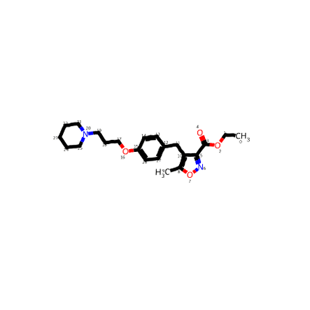 CCOC(=O)c1noc(C)c1Cc1ccc(OCCCN2CCCCC2)cc1